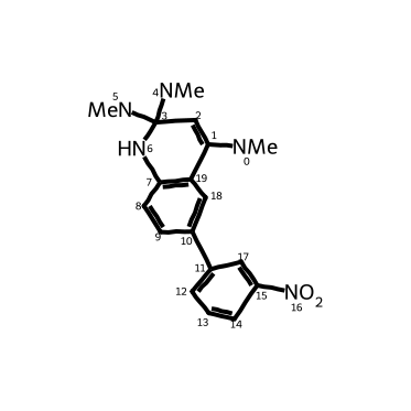 CNC1=CC(NC)(NC)Nc2ccc(-c3cccc([N+](=O)[O-])c3)cc21